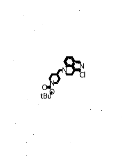 CC(C)(C)OC(=O)N1CCC(CN2CCc3c(Cl)ncc4cccc2c34)CC1